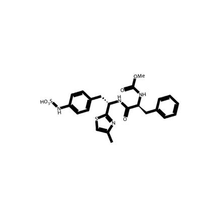 COC(=O)N[C@@H](Cc1ccccc1)C(=O)N[C@@H](Cc1ccc(NS(=O)(=O)O)cc1)c1nc(C)cs1